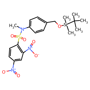 CN(c1ccc(CO[Si](C)(C)C(C)(C)C)cc1)S(=O)(=O)c1ccc([N+](=O)[O-])cc1[N+](=O)[O-]